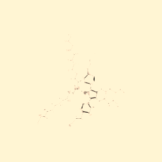 CCCCCCC1=C(c2ccc(CCCC)cc2)[N+](=[N-])C(c2ccc(CCCC)cc2)=C1CCCCC.CCCCCCCCCC[CH2][Ni][CH2]CCCCCCCCCC